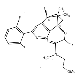 CCC(O[C@@]12CC[C@@H](c3cc(-c4c(F)cccc4F)nnc31)C2(C)C)C(=O)N(C)CCOC